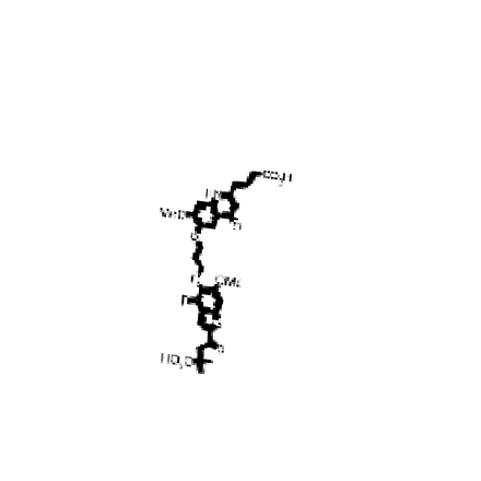 COc1cc2[nH]c(/C=C/CC(=O)O)cc(=O)c2cc1OCCCOc1c(OC)cc2sc(C(=O)CC(C)(C)C(=O)O)cc2c1F